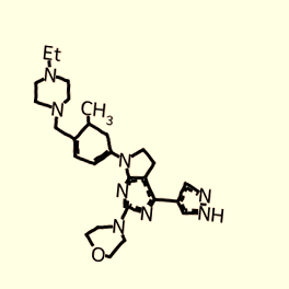 CCN1CCN(CC2=CC=C(N3CCc4c(-c5cn[nH]c5)nc(N5CCOCC5)nc43)CC2C)CC1